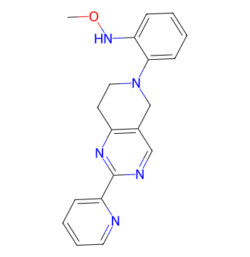 CONc1ccccc1N1CCc2nc(-c3ccccn3)ncc2C1